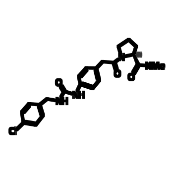 CNC(=O)[C@@H]1CCCN1C(=O)Cc1ccc(NC(=O)NCc2ccc(Cl)cc2)cc1